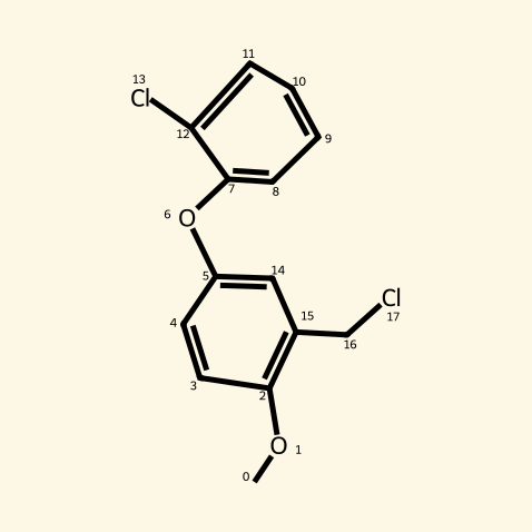 COc1ccc(Oc2ccccc2Cl)cc1CCl